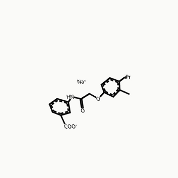 Cc1cc(OCC(=O)Nc2cccc(C(=O)[O-])c2)ccc1C(C)C.[Na+]